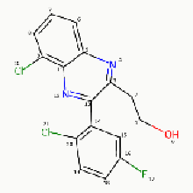 OCCc1nc2cccc(Cl)c2nc1-c1cc(F)ccc1Cl